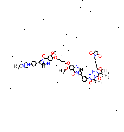 COc1cc2c(cc1OCCCCCOc1cc3c(cc1OC)C(=O)N1C=C(c4cccc(NC(=O)[C@H](C)NC(=O)[C@@H](NC(=O)CCCCCN5C(=O)C=CC5=O)C(C)C)c4)C[C@H]1C=N3)N=C[C@@H]1CC(c3ccc(N4CCN(C)CC4)cc3)=CN1C2=O